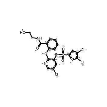 O=C(NCCO)c1ccccc1Oc1ncc(Cl)cc1NS(=O)(=O)c1cc(Cl)c(Cl)s1